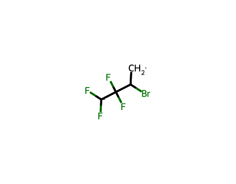 [CH2]C(Br)C(F)(F)[C](F)F